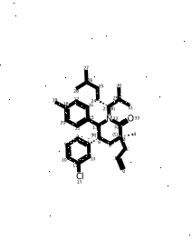 C=CC[C@@]1(C)C[C@H](c2cccc(Cl)c2)C(c2ccc(C)cc2)N([C@H](CCC(C)C)C(C)C)C1=O